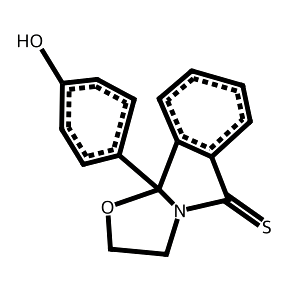 Oc1ccc(C23OCCN2C(=S)c2ccccc23)cc1